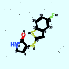 O=C1NCC=C1Sc1cc2cc(F)ccc2s1